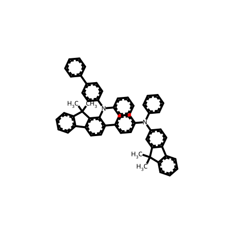 CC1(C)c2ccccc2-c2ccc(N(c3ccccc3)c3ccc(-c4ccc5c(c4N(c4ccccc4)c4ccc(-c6ccccc6)cc4)C(C)(C)c4ccccc4-5)cc3)cc21